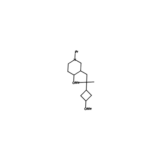 COC1CC(C(C)(C)CC2CN(C(C)C)CCC2OC)C1